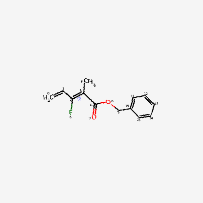 C=C/C(F)=C(\C)C(=O)OCc1ccccc1